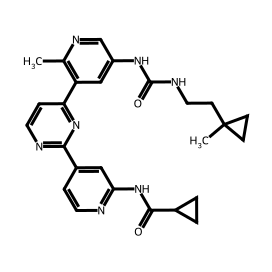 Cc1ncc(NC(=O)NCCC2(C)CC2)cc1-c1ccnc(-c2ccnc(NC(=O)C3CC3)c2)n1